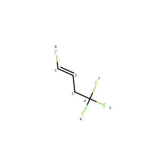 FC=CCC(F)(F)F